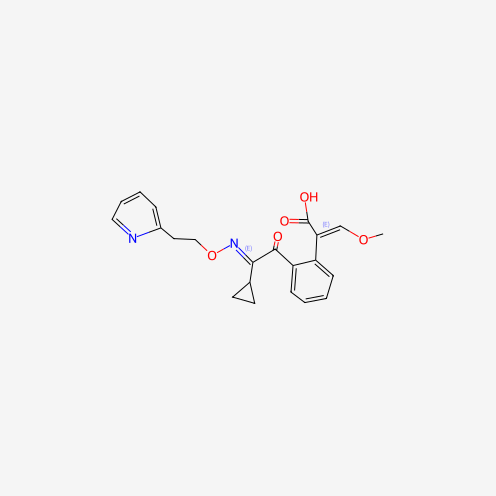 CO/C=C(/C(=O)O)c1ccccc1C(=O)/C(=N/OCCc1ccccn1)C1CC1